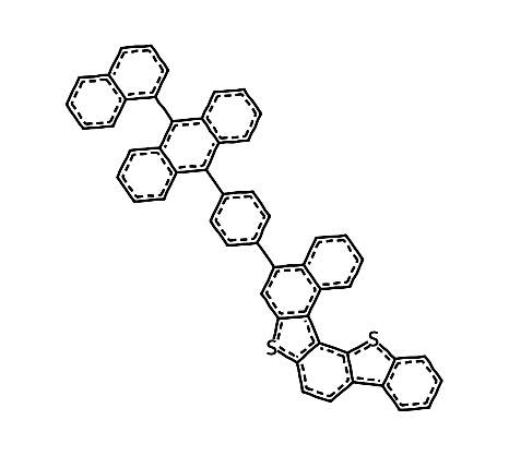 c1ccc2c(-c3c4ccccc4c(-c4ccc(-c5cc6sc7ccc8c9ccccc9sc8c7c6c6ccccc56)cc4)c4ccccc34)cccc2c1